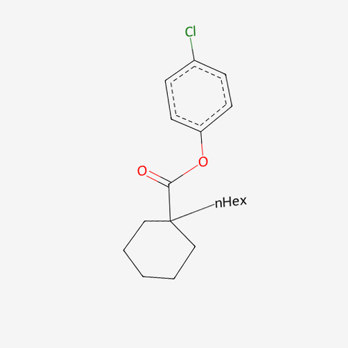 CCCCCCC1(C(=O)Oc2ccc(Cl)cc2)CCCCC1